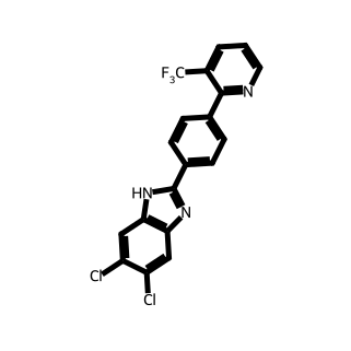 FC(F)(F)c1cccnc1-c1ccc(-c2nc3cc(Cl)c(Cl)cc3[nH]2)cc1